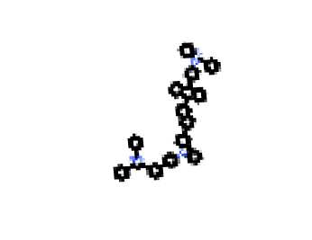 c1ccc(-c2cc(-c3cccc(-c4ccc(-n5c6ccccc6c6cc(-c7ccc8cc(-c9c%10ccccc%10c(-c%10ccc(-n%11c(-c%12ccccc%12)nc%12ccccc%12%11)cc%10)c%10ccccc9%10)ccc8c7)ccc65)cc4)c3)nc(-c3ccccc3)n2)cc1